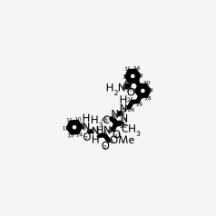 COC(=O)C(CNC(=O)Nc1ccccc1)NC(=O)c1c(C)nc(NCCCc2cccc(-c3ccccc3)c2OC(N)=O)nc1C